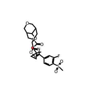 CC1(OC(=O)N2CC3COCC(C2)C3OCc2nc(-c3ccc(S(C)(=O)=O)c(F)c3)no2)CC1